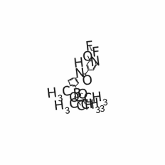 Cc1ccc(NC(=O)c2ccnc(OC(F)F)c2)cc1B1OC(C)(C)C(C)(C)O1